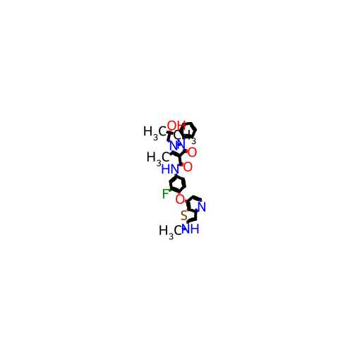 CNc1cc2nccc(Oc3ccc(NC(=O)c4c(C)n(CC(C)(C)O)n(-c5ccccc5)c4=O)cc3F)c2s1